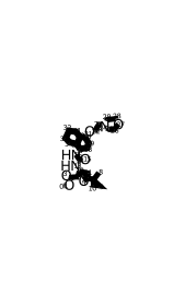 COC(=O)c1oc(C2(C)CC2)cc1NC(=O)Nc1ccc(OCCN2CCOCC2)c2ccccc12